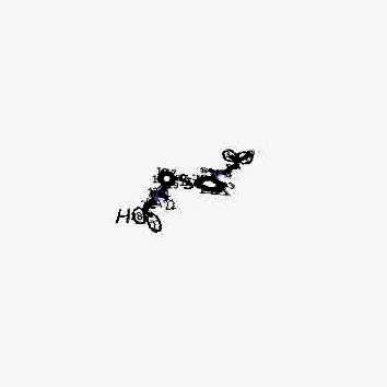 COC(=O)CC/C=C(\C)c1cccc(SSc2cccc(/C(C)=C/CCC(=O)O)c2)c1